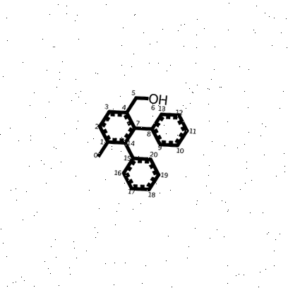 Cc1ccc(CO)c(-c2ccccc2)c1-c1ccccc1